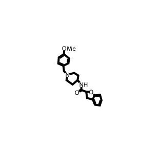 COc1ccc(CN2CCC(NC(=O)C3Cc4ccccc4O3)CC2)cc1